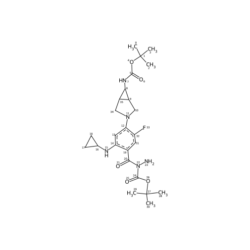 CC(C)(C)OC(=O)NC1C2CN(c3cc(NC4CC4)c(C(=O)N(N)C(=O)OC(C)(C)C)cc3F)CC21